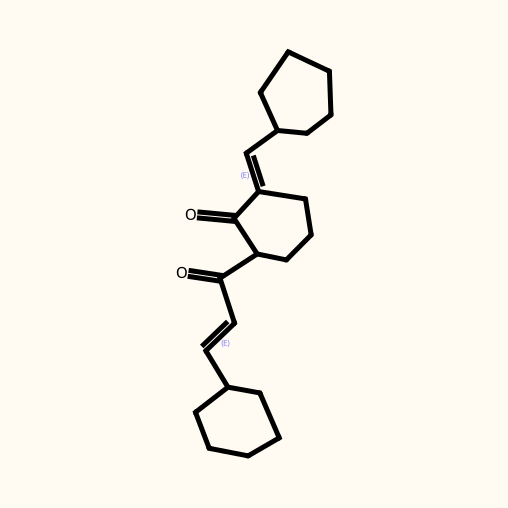 O=C(/C=C/C1CCCCC1)C1CCC/C(=C\C2CCCCC2)C1=O